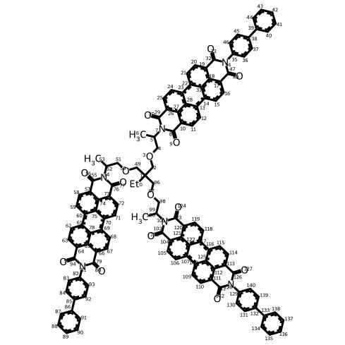 CCC(COCC(C)N1C(=O)c2ccc3c4ccc5c6c(ccc(c7ccc(c2c37)C1=O)c64)C(=O)N(c1ccc(-c2ccccc2)cc1)C5=O)(COCC(C)N1C(=O)c2ccc3c4ccc5c6c(ccc(c7ccc(c2c37)C1=O)c64)C(=O)N(c1ccc(-c2ccccc2)cc1)C5=O)COCC(C)N1C(=O)c2ccc3c4ccc5c6c(ccc(c7ccc(c2c37)C1=O)c64)C(=O)N(c1ccc(-c2ccccc2)cc1)C5=O